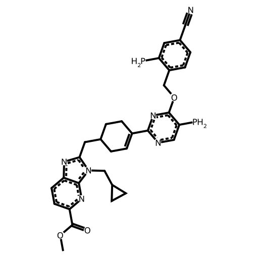 COC(=O)c1ccc2nc(CC3CC=C(c4ncc(P)c(OCc5ccc(C#N)cc5P)n4)CC3)n(CC3CC3)c2n1